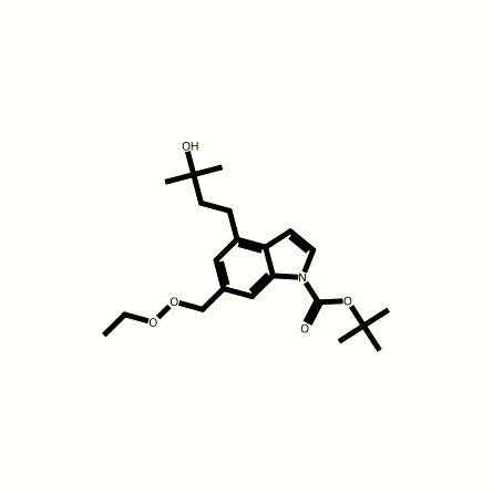 CCOOCc1cc(CCC(C)(C)O)c2ccn(C(=O)OC(C)(C)C)c2c1